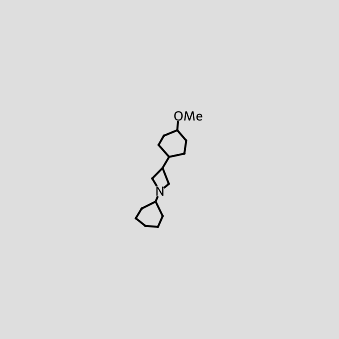 COC1CCC(C2CN(C3CCCCC3)C2)CC1